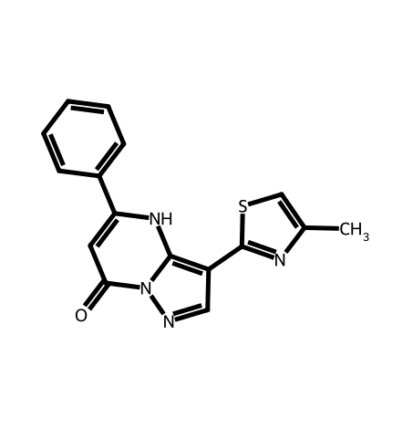 Cc1csc(-c2cnn3c(=O)cc(-c4ccccc4)[nH]c23)n1